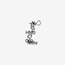 CNS(=O)(=O)c1ccc(NC(=O)c2cc3c(C)nn(C4CCCCC4)c3s2)cc1